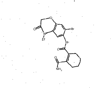 CCN1C(=O)COc2cc(Br)c(NC(=O)C3=C(C(N)=O)CCCC3)cc21